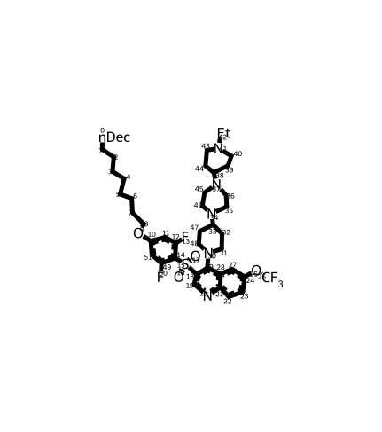 CCCCCCCCCCCCCCCCCCOc1cc(F)c(S(=O)(=O)c2cnc3ccc(OC(F)(F)F)cc3c2N2CCC(N3CCN(C4CCN(CC)CC4)CC3)CC2)c(F)c1